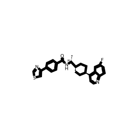 C[C@@H](NC(=O)c1ccc(-c2cscn2)cc1)[C@H]1CC[C@H](c2ccnc3ccc(F)cc32)CC1